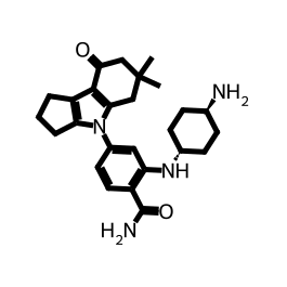 CC1(C)CC(=O)c2c3c(n(-c4ccc(C(N)=O)c(N[C@H]5CC[C@H](N)CC5)c4)c2C1)CCC3